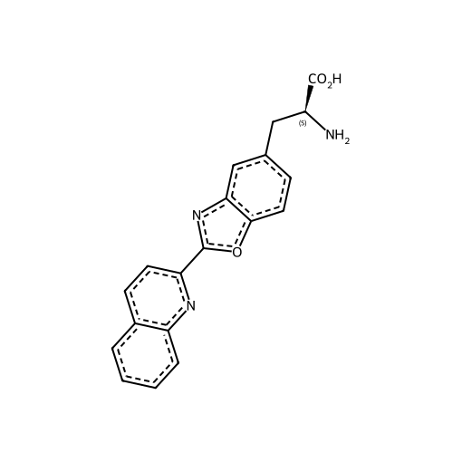 N[C@@H](Cc1ccc2oc(-c3ccc4ccccc4n3)nc2c1)C(=O)O